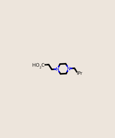 CC(C)CN1CCN(CCC(=O)O)CC1